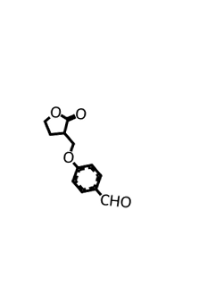 O=Cc1ccc(OCC2CCOC2=O)cc1